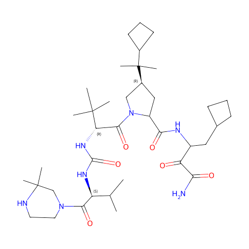 CC(C)[C@H](NC(=O)N[C@@H](C(=O)N1C[C@@H](C(C)(C)C2CCC2)CC1C(=O)NC(CC1CCC1)C(=O)C(N)=O)C(C)(C)C)C(=O)N1CCNC(C)(C)C1